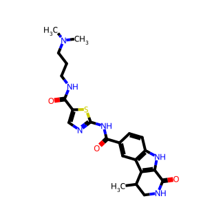 CC1CNC(=O)c2[nH]c3ccc(C(=O)Nc4ncc(C(=O)NCCCN(C)C)s4)cc3c21